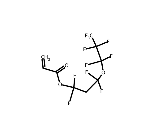 C=CC(=O)OC(F)(F)CC(F)(F)OC(F)(F)C(F)(F)C(F)(F)F